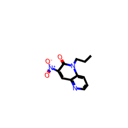 CCCn1c(=O)c([N+](=O)[O-])cc2ncccc21